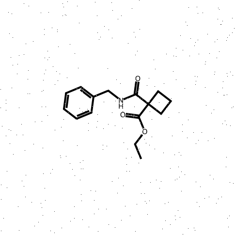 CCOC(=O)C1(C(=O)NCc2ccccc2)CCC1